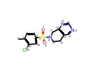 Cc1ccc(S(=O)(=O)N2CCc3[c]ncnc3C2)cc1Cl